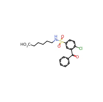 O=C(O)CCCCCNS(=O)(=O)c1ccc(Cl)c(C(=O)c2ccccc2)c1